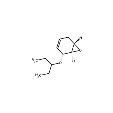 CCC(CC)O[C@@H]1C=CC[C@@H]2O[C@H]21